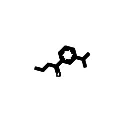 CCCC(=O)c1cccc(C(C)C)c1